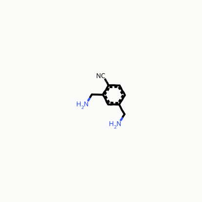 N#Cc1ccc(CN)cc1CN